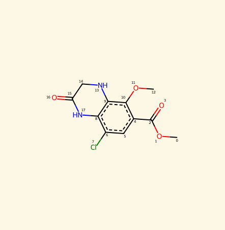 COC(=O)c1cc(Cl)c2c(c1OC)NCC(=O)N2